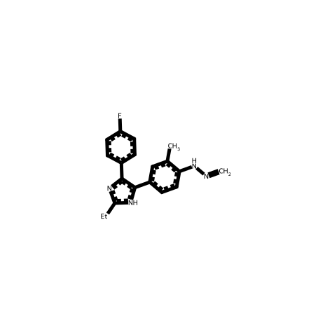 C=NNc1ccc(-c2[nH]c(CC)nc2-c2ccc(F)cc2)cc1C